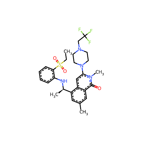 CCS(=O)(=O)c1ccccc1N[C@H](C)c1cc(C)cc2c(=O)n(C)c(N3CCN(CC(F)(F)F)CC3)cc12